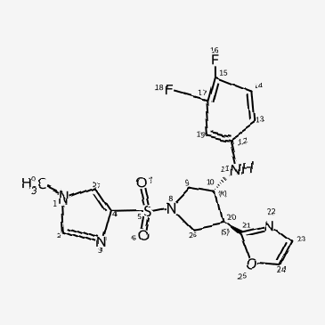 Cn1cnc(S(=O)(=O)N2C[C@H](Nc3ccc(F)c(F)c3)[C@@H](c3ncco3)C2)c1